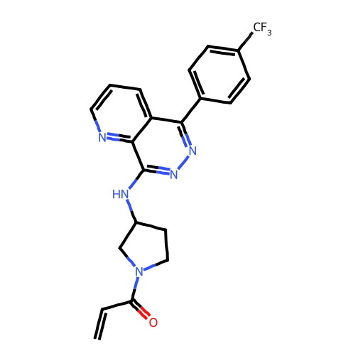 C=CC(=O)N1CCC(Nc2nnc(-c3ccc(C(F)(F)F)cc3)c3cccnc23)C1